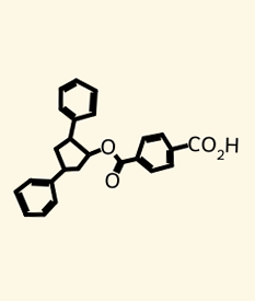 O=C(O)c1ccc(C(=O)OC2CC(c3ccccc3)CC2c2ccccc2)cc1